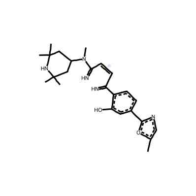 Cc1cnc(-c2ccc(C(=N)/C=C\C(=N)N(C)C3CC(C)(C)NC(C)(C)C3)c(O)c2)o1